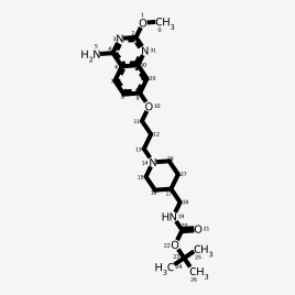 COc1nc(N)c2ccc(OCCCN3CCC(CNC(=O)OC(C)(C)C)CC3)cc2n1